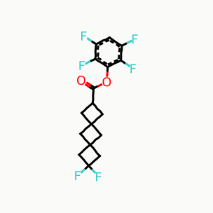 O=C(Oc1c(F)c(F)cc(F)c1F)C1CC2(C1)CC1(CC(F)(F)C1)C2